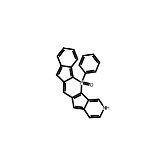 O=P1(c2ccccc2)C2=c3ccccc3=CC2=Cc2cc3cc[nH]cc-3c21